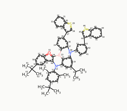 Cc1cc(C(C)(C)C)cc(C)c1N1c2cc(C(C)C)cc3c2B(c2ccc(-c4csc5ccccc45)cc2N3c2cccc(-c3csc4ccccc34)c2)c2oc3ccc(C(C)(C)C)cc3c21